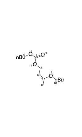 CCCCOC(=O)OCCC(C)OCCCC